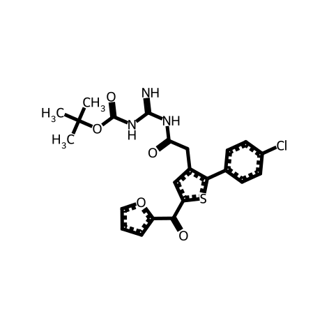 CC(C)(C)OC(=O)NC(=N)NC(=O)Cc1cc(C(=O)c2ccco2)sc1-c1ccc(Cl)cc1